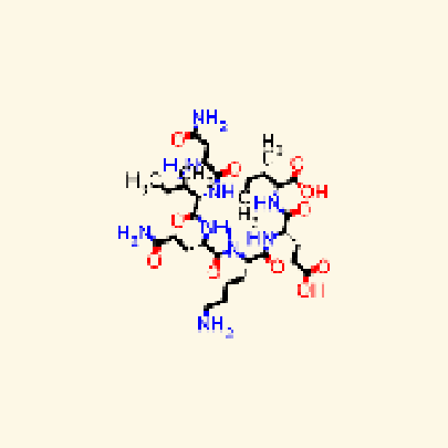 CC[C@H](C)[C@H](NC(=O)[C@H](CCC(=O)O)NC(=O)[C@H](CCCCN)NC(=O)[C@H](CCC(N)=O)NC(=O)[C@@H](NC(=O)[C@@H](N)CC(N)=O)[C@@H](C)CC)C(=O)O